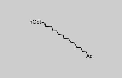 CCCCCCCCC=CCCCCCCCCCCCCCC(C)=O